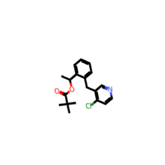 CC(OC(=O)C(C)(C)C)c1ccccc1Cc1cnccc1Cl